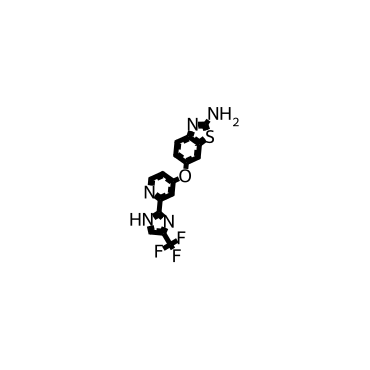 Nc1nc2ccc(Oc3ccnc(-c4nc(C(F)(F)F)c[nH]4)c3)cc2s1